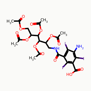 CC(=O)OCC(OC(C)=O)C(OC(C)=O)C(OC(C)=O)C(CNC(=O)c1c(I)c(N)c(I)c(C(=O)O)c1I)OC(C)=O